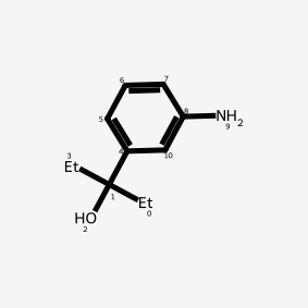 CCC(O)(CC)c1cccc(N)c1